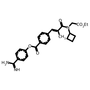 CCOC(=O)CN(C(=O)/C(C)=C/c1ccc(C(=O)Oc2ccc(C(=N)N)cc2)cc1)C1CCC1